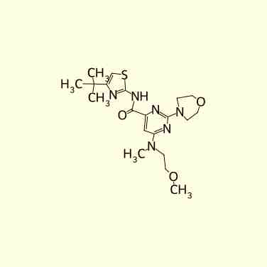 COCCN(C)c1cc(C(=O)Nc2nc(C(C)(C)C)cs2)nc(N2CCOCC2)n1